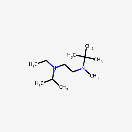 CCN(CCN(C)C(C)(C)C)C(C)C